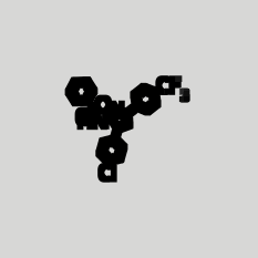 O=S(=O)(Nn1nc(-c2ccc(C(F)(F)F)cc2)cc1-c1ccc(Cl)cc1)c1ccccc1